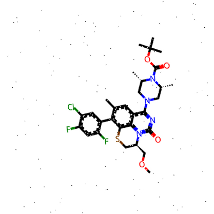 COC[C@H]1CSc2c(-c3cc(Cl)c(F)cc3F)c(C)cc3c(N4C[C@@H](C)N(C(=O)OC(C)(C)C)[C@@H](C)C4)nc(=O)n1c23